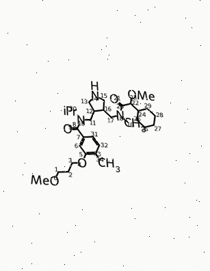 COCCCOc1cc(C(=O)N(CC2CNCC2CN(C)C(=O)C(OC)C2CCCCC2)C(C)C)ccc1C